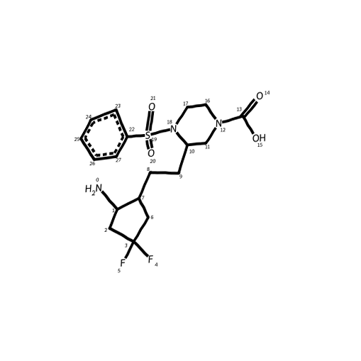 NC1CC(F)(F)CC1CCC1CN(C(=O)O)CCN1S(=O)(=O)c1ccccc1